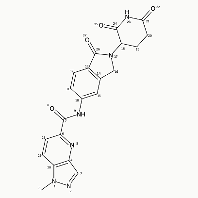 Cn1ncc2nc(C(=O)Nc3ccc4c(c3)CN(C3CCC(=O)NC3=O)C4=O)ccc21